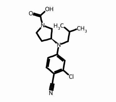 CC(C)CN(c1ccc(C#N)c(Cl)c1)[C@H]1CCN(C(=O)O)C1